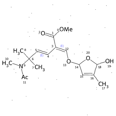 COC(=O)C(/C=C/C(C)(C)N(C)C(C)=O)=C/OC1C=C(C)C(O)O1